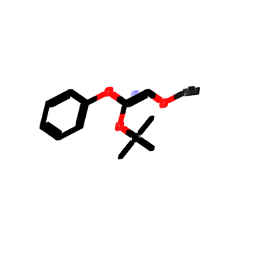 CCCCO/C=C(/Oc1ccccc1)O[Si](C)(C)C